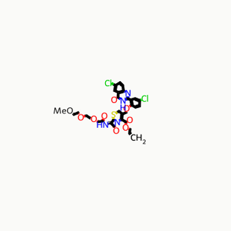 C=CCOC(=O)C1=C(COc2ccc(Cl)cc2-c2nc3ccc(Cl)cc3c(=O)[nH]2)CSC2[C@H](NC(=O)COCCOCCOC)C(=O)N12